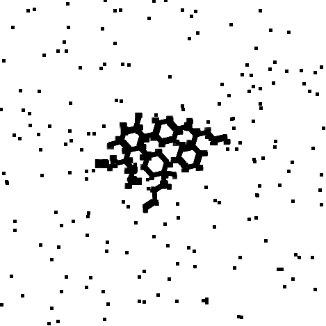 C=CCOC1(C)CCN(c2c(-c3ccc(OC(CC=C)c4ccccc4)cc3)c(C)nc(C)c2C(OC(C)(C)C)C(=O)O)CC1